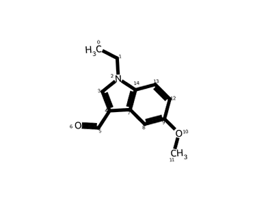 CCn1cc(C=O)c2cc(OC)ccc21